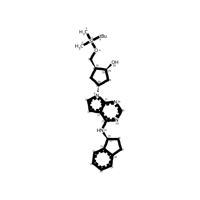 CC(C)(C)[Si](C)(C)OC[C@@H]1C[C@@H](n2ccc3c(N[C@H]4CCc5ccccc54)ncnc32)C[C@@H]1O